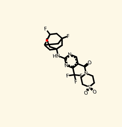 O=C(c1cnc(NC23CCC4(F)CC(CC(F)(C4)C2)C3)nc1C(F)(F)F)N1CCS(=O)(=O)CC1